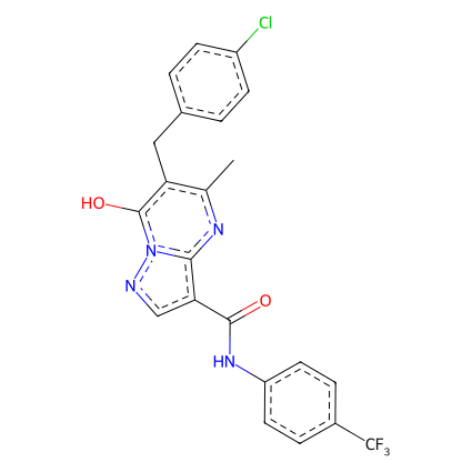 Cc1nc2c(C(=O)Nc3ccc(C(F)(F)F)cc3)cnn2c(O)c1Cc1ccc(Cl)cc1